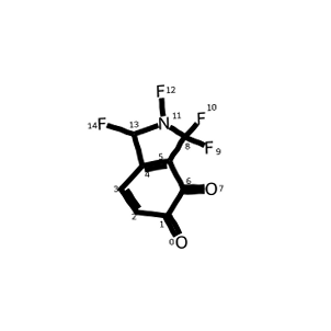 O=C1C=CC2=C(C1=O)C(F)(F)N(F)C2F